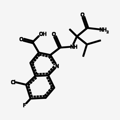 CC(C)C(C)(NC(=O)c1nc2ccc(F)c(Cl)c2cc1C(=O)O)C(N)=O